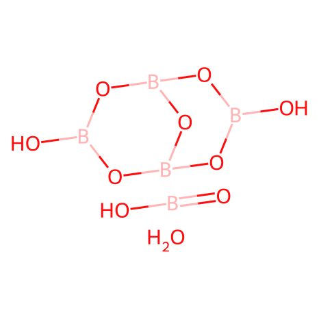 O.O=BO.OB1OB2OB(O)OB(O1)O2